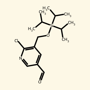 CC(C)[Si](OCc1cc(C=O)cnc1Cl)(C(C)C)C(C)C